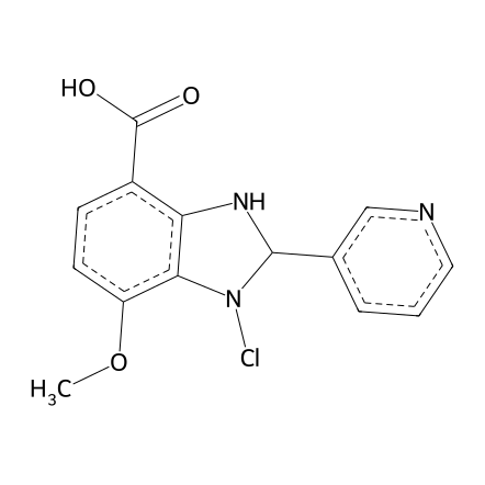 COc1ccc(C(=O)O)c2c1N(Cl)C(c1cccnc1)N2